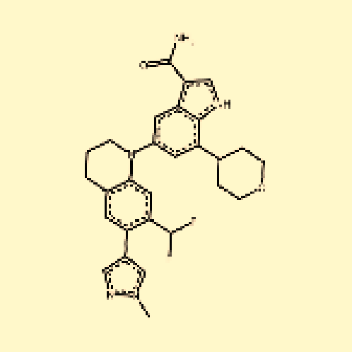 Cn1cc(-c2cc3c(cc2C(F)F)N(c2cc(C4CCOCC4)c4[nH]cc(C(N)=O)c4c2)CCC3)cn1